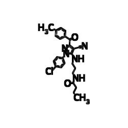 CCCC(=O)NCCCNc1c(C#N)c(C(=O)c2ccc(C)cc2)nn1-c1ccc(Cl)cc1